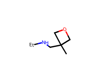 CCNCC1(C)COC1